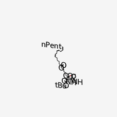 CCCCC/C=C\C/C=C\C/C=C\CCCCC(=O)OCCCOC(=O)C(C)(NC(=O)OC(C)(C)C)c1c[nH]c2ccccc12